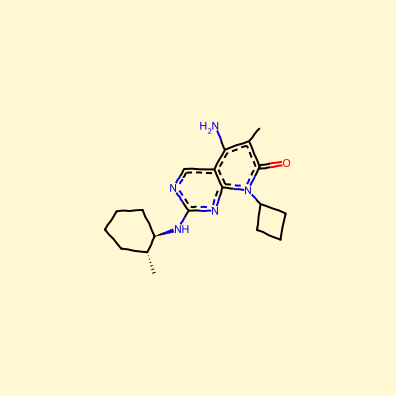 Cc1c(N)c2cnc(N[C@@H]3CCCC[C@H]3C)nc2n(C2CCC2)c1=O